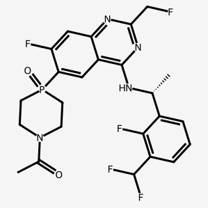 CC(=O)N1CCP(=O)(c2cc3c(N[C@H](C)c4cccc(C(F)F)c4F)nc(CF)nc3cc2F)CC1